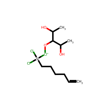 C=CCCCC[Si](Cl)(Cl)[Cl+]OC(C(C)O)C(C)O